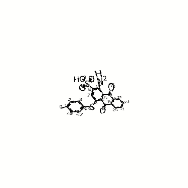 Cc1ccc(Sc2cc(S(=O)(=O)O)c(N)c3c2C(=O)c2ccccc2C3=O)cc1